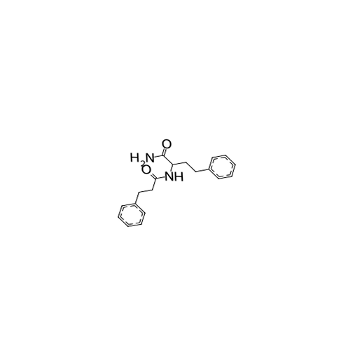 NC(=O)C(CCc1ccccc1)NC(=O)CCc1ccccc1